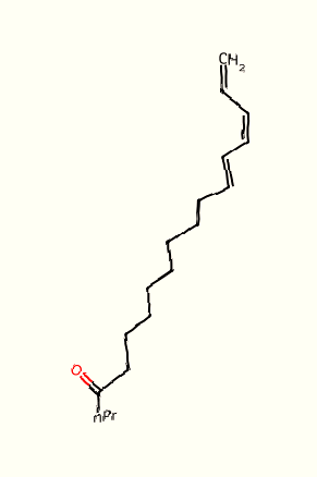 C=C/C=C\C=CCCCCCCCCC(=O)CCC